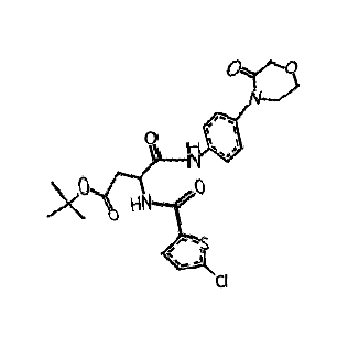 CC(C)(C)OC(=O)CC(NC(=O)c1ccc(Cl)s1)C(=O)Nc1ccc(N2CCOCC2=O)cc1